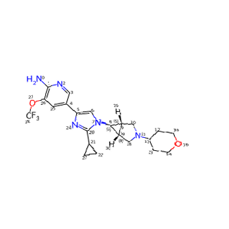 Nc1ncc(-c2cn([C@H]3[C@@H]4CN(C5CCOCC5)C[C@@H]43)c(C3CC3)n2)cc1OC(F)(F)F